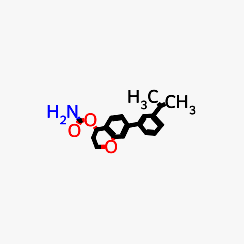 CC(C)c1cccc(-c2ccc3c(c2)OCCC3OC(N)=O)c1